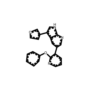 c1ccc(Oc2ncccc2-c2cnc3[nH]cc(-c4ccoc4)c3c2)cc1